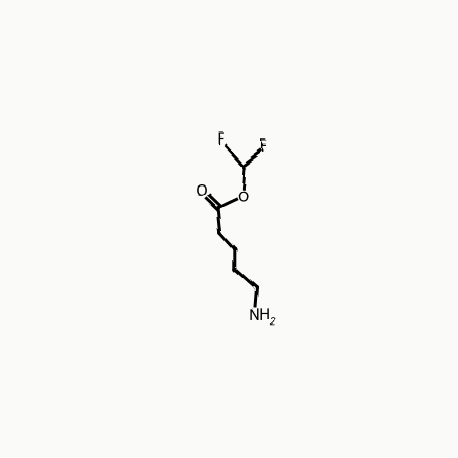 NCCCCC(=O)OC(F)F